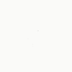 FCCC1[CH]CC[CH]C1